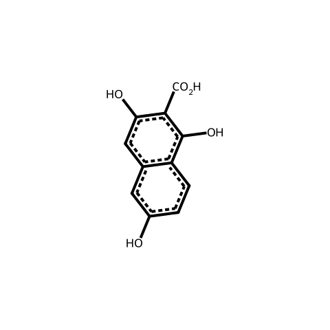 O=C(O)c1c(O)cc2cc(O)ccc2c1O